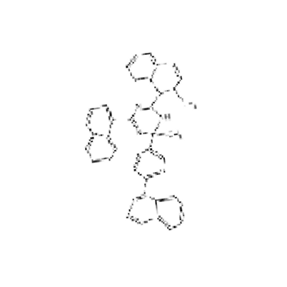 CC1C=Cc2ccccc2C1C1=NC(c2cccc3ccccc23)=NC(C)(c2ccc(-c3cccc4ccccc34)cc2)N1